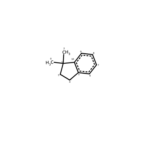 CC1(C)C[CH]c2ccccc21